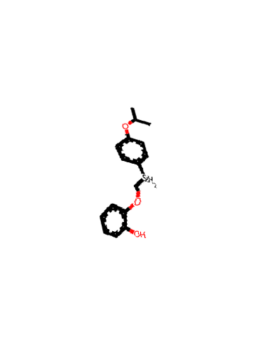 CC(C)Oc1ccc([SiH2]COc2ccccc2O)cc1